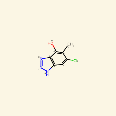 Cc1c(Cl)cc2[nH]nnc2c1O